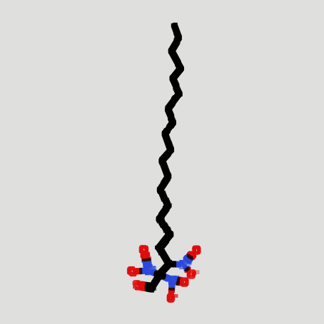 CCCCCCCCCCCCCCCCCC([N+](=O)[O-])C([C]=O)([N+](=O)[O-])[N+](=O)[O-]